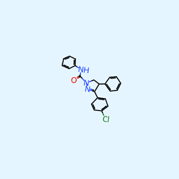 O=C(Nc1ccccc1)N1CC(c2ccccc2)C(c2ccc(Cl)cc2)=N1